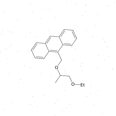 CCOCC(C)OCc1c2ccccc2cc2ccccc12